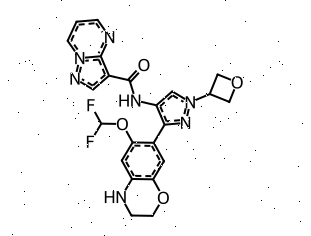 O=C(Nc1cn(C2COC2)nc1-c1cc2c(cc1OC(F)F)NCCO2)c1cnn2cccnc12